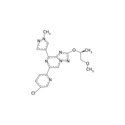 COC[C@H](C)Oc1nc2c(-c3cnn(C)c3)nc(-c3ccc(Cl)cn3)cn2n1